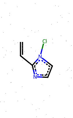 C=Cc1nccn1Cl